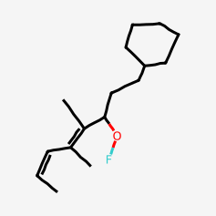 C/C=C\C(C)=C(/C)C(CCC1CCCCC1)OF